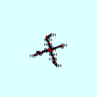 C#CCOc1cccc(C(=O)NCCCCNC(=O)CCOCC(COCCC(=O)NCCCCNC(=O)c2cccc(OCC#C)c2)(COCCC(=O)NCCCCNC(=O)c2cccc(OCC#C)c2)NC(=O)CCCCCCCCCCC(=O)O)c1